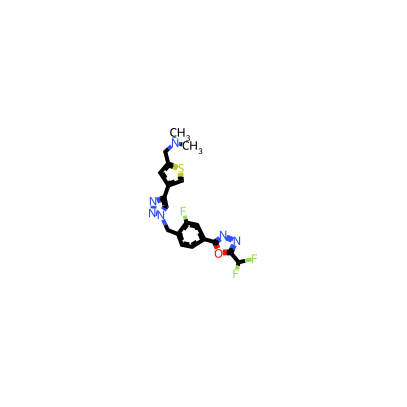 CN(C)Cc1cc(-c2cn(Cc3ccc(-c4nnc(C(F)F)o4)cc3F)nn2)cs1